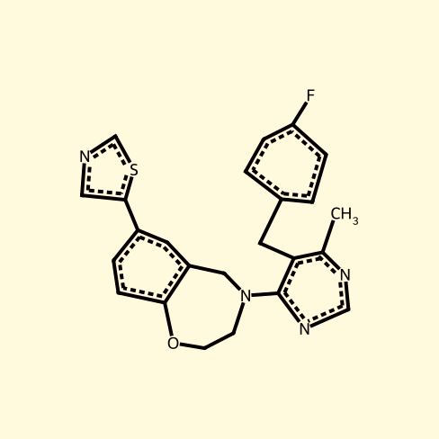 Cc1ncnc(N2CCOc3ccc(-c4cncs4)cc3C2)c1Cc1ccc(F)cc1